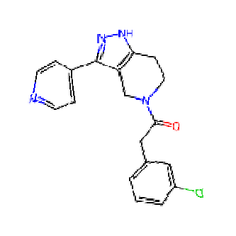 O=C(Cc1cccc(Cl)c1)N1CCc2[nH]nc(-c3ccncc3)c2C1